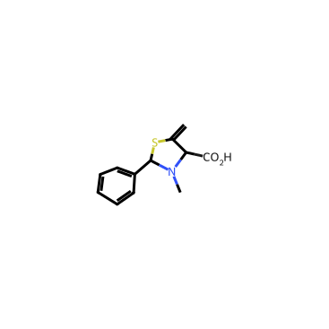 C=C1SC(c2ccccc2)N(C)C1C(=O)O